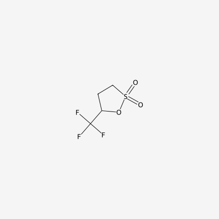 O=S1(=O)CCC(C(F)(F)F)O1